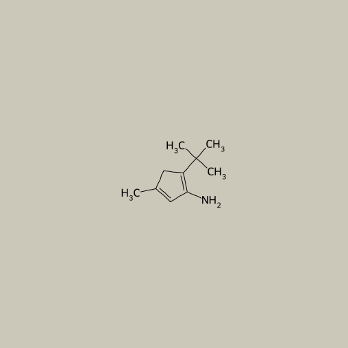 CC1=CC(N)=C(C(C)(C)C)C1